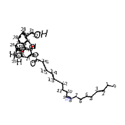 CCCCCCCC/C=C\CCCCCCCC(=O)OC1=CC[C@@]2(O)[C@H]3Cc4ccc(CO)c5c4[C@@]2(CCN3C)[C@H]1O5